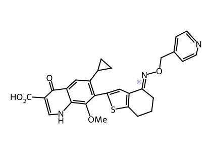 COc1c(-c2cc3c(s2)CCC/C3=N\OCc2ccncc2)c(C2CC2)cc2c(=O)c(C(=O)O)c[nH]c12